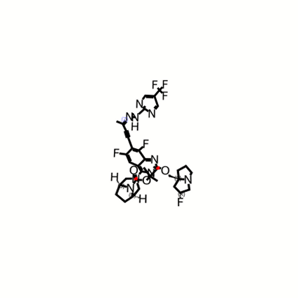 C/C(C#Cc1c(F)cc2c(N3C[C@H]4CC[C@@H](C3)N4C(=O)OC(C)(C)C)nc(OC[C@@]34CCCN3C[C@H](F)C4)nc2c1F)=N/Nc1ncc(C(F)(F)F)cn1